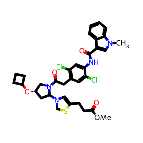 COC(=O)CCC1=CN(C2C[C@H](OC3CCC3)CN2C(=O)Cc2cc(Cl)c(NC(=O)c3cn(C)c4ccccc34)cc2Cl)CS1